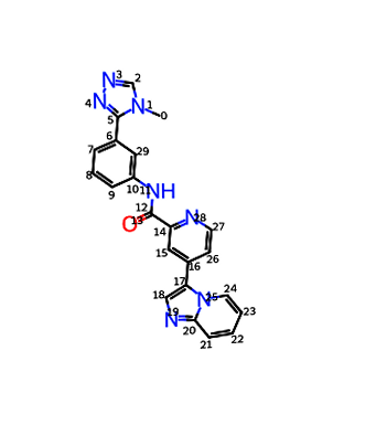 Cn1cnnc1-c1cccc(NC(=O)c2cc(-c3cnc4ccccn34)ccn2)c1